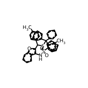 Cc1ccc(C(SC(c2ccccc2)(c2ccccc2)c2ccccc2)c2oc3ccccc3c2NS(=O)(=O)c2ccc(C)cc2)cc1